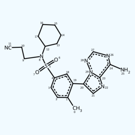 Cc1ccc(S(=O)(=O)N(CCC#N)C2CCCCC2)cc1-c1cnc2c(N)ncnn12